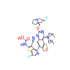 CN(C)c1nc(OC[C@@]23CCCN2C[C@H](F)C3)nc2c(F)c(-c3ncc(F)c4sc(NC(=O)O)c(C#N)c34)c3c(c12)COC3